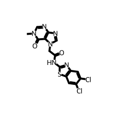 Cn1cnc2ncn(CC(=O)Nc3nc4cc(Cl)c(Cl)cc4s3)c2c1=O